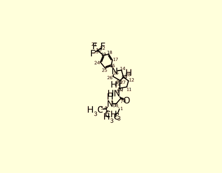 CC[C@H](NC(C)C)C(=O)N[C@H]1CC[C@@H]2CN(c3ccc(C(F)(F)F)cc3)C[C@@H]21